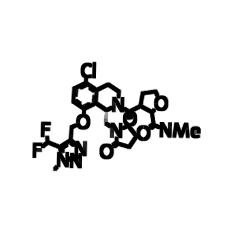 CNC(=O)C1OCCC1C(=O)N1CCc2c(Cl)ccc(OCc3nnn(C)c3C(F)F)c2[C@H]1CN1CCCC1=O